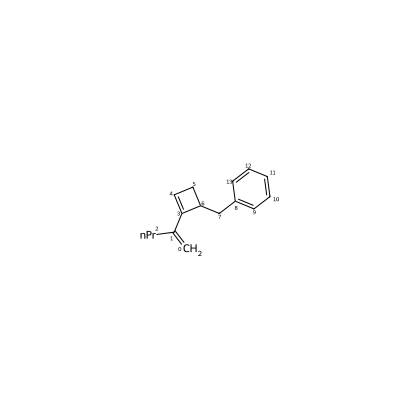 C=C(CCC)C1=CCC1Cc1ccccc1